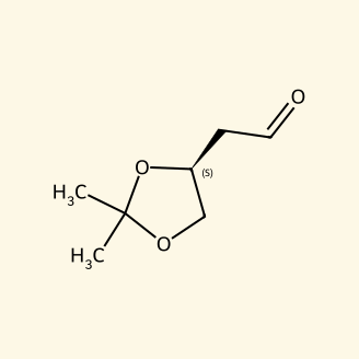 CC1(C)OC[C@H](CC=O)O1